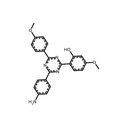 COc1ccc(-c2nc(-c3ccc(N)cc3)nc(-c3ccc(OC)cc3O)n2)cc1